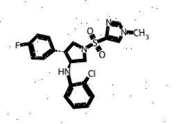 Cn1cnc(S(=O)(=O)N2C[C@@H](Nc3ccccc3Cl)[C@H](c3ccc(F)cc3)C2)c1